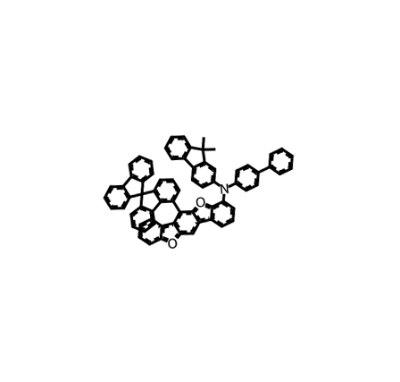 CC1(C)c2ccccc2-c2ccc(N(c3ccc(-c4ccccc4)cc3)c3cccc4c3oc3c(-c5cccc6c5-c5ccccc5C65c6ccccc6-c6ccccc65)c5c(cc34)oc3ccccc35)cc21